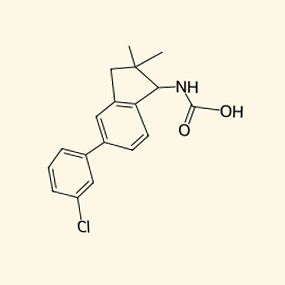 CC1(C)Cc2cc(-c3cccc(Cl)c3)ccc2C1NC(=O)O